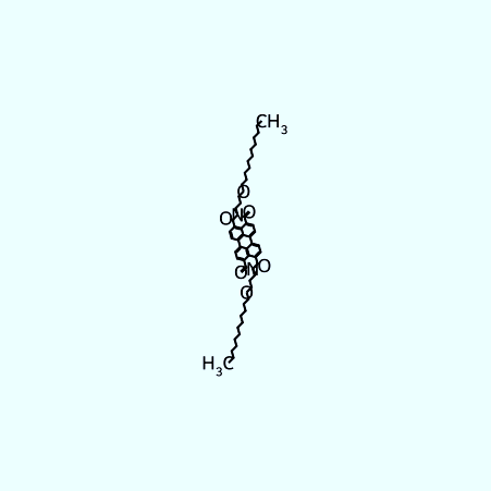 CCCCCCCCCCCCOCCCN1C(=O)c2ccc3c4ccc5c6c(ccc(c7ccc(c2c37)C1=O)c64)C(=O)N(CCCOCCCCCCCCCCCC)C5=O